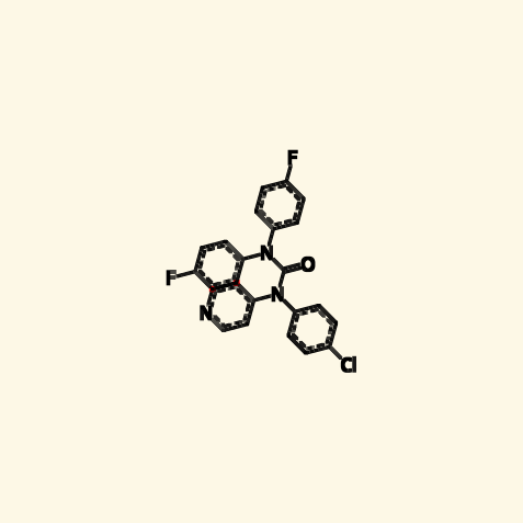 O=C(N(c1ccc(F)cc1)c1ccc(F)cc1)N(c1ccncc1)c1ccc(Cl)cc1